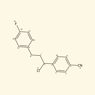 N#Cc1ccc(C(Cl)CCc2ccc(F)cc2)cc1